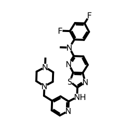 CN1CCN(Cc2ccnc(Nc3nc4ccc(N(C)c5ccc(F)cc5F)nc4s3)c2)CC1